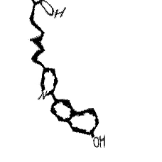 CC(O)CCCC=Cc1ccc(-c2ccc3cc(O)ccc3c2)nc1